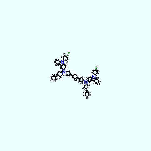 Fc1ccc(-n2c3ccccc3c3cc(N(c4ccc(-c5ccccc5)cc4)c4ccc(-c5ccc(-c6ccc(N(c7ccc(-c8ccccc8)cc7)c7ccc8c(c7)c7ccccc7n8-c7ccc(F)cc7)cc6)cc5)cc4)ccc32)cc1